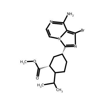 COC(=O)[C@@H]1C[C@H](c2nc(Br)c3c(N)nccn23)CCC1C(C)C